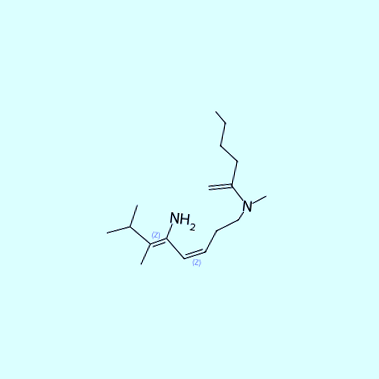 C=C(CCCC)N(C)CC/C=C\C(N)=C(/C)C(C)C